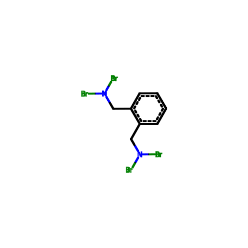 BrN(Br)Cc1ccccc1CN(Br)Br